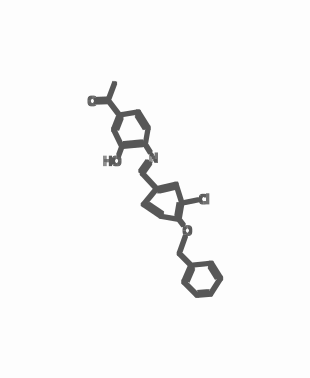 CC(=O)c1ccc(/N=C/c2ccc(OCc3ccccc3)c(Cl)c2)c(O)c1